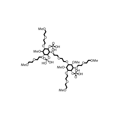 COCCOCCO[C@@H]1[C@@H](OC)[C@H](OCCOCCOC)[C@@H](OP(=O)(O)O)[C@@H](OCCOCCO[C@H]2[C@@H](OC)[C@H](OCCOCCOC)[C@@H](OP(=O)(O)O)[C@H](OCCOCCOC)[C@H]2OC)[C@H]1OP(=O)(O)O